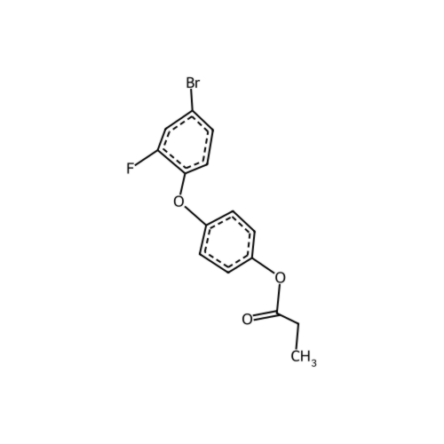 CCC(=O)Oc1ccc(Oc2ccc(Br)cc2F)cc1